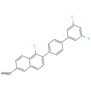 CCCCCCCc1ccc2c(F)c(-c3ccc(-c4cc(F)cc(F)c4)cc3)ccc2c1